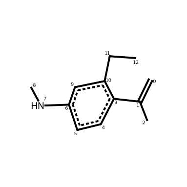 C=C(C)c1ccc(NC)cc1CC